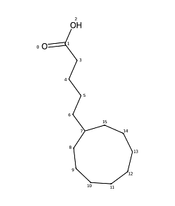 O=C(O)CCCCC1CCCCCCCC1